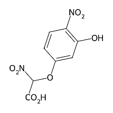 O=C(O)C(Oc1ccc([N+](=O)[O-])c(O)c1)[N+](=O)[O-]